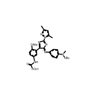 CCCCCCCCC(=O)Nc1ccc(OC)c(C2=NC(n3nc(C)cc3C)=N/C2=N\c2ccc(N(C)CCCC)cc2)c1